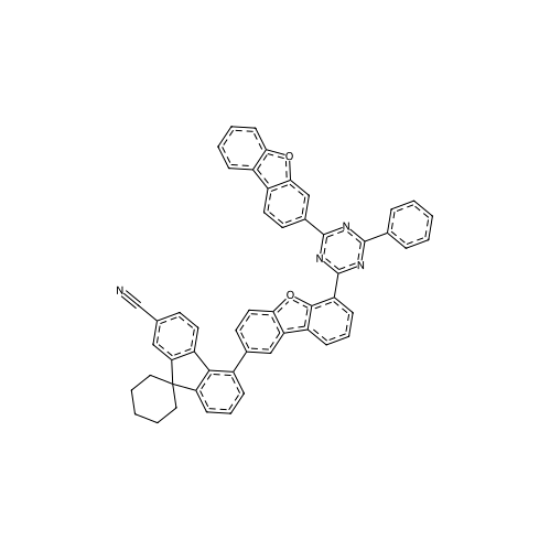 N#Cc1ccc2c(c1)C1(CCCCC1)c1cccc(-c3ccc4oc5c(-c6nc(-c7ccccc7)nc(-c7ccc8c(c7)oc7ccccc78)n6)cccc5c4c3)c1-2